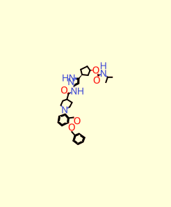 CC(C)NC(=O)O[C@@H]1CC[C@H](c2cc(NC(=O)C3CCN(c4cccc(OCc5ccccc5)c4C=O)CC3)n[nH]2)C1